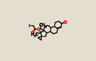 CCC12CCC3C4CCC(=O)C=C4CCC3C1CC1(CC1)C2(C)OC(=O)CI